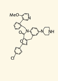 COc1ccncc1-c1ccccc1CN1C(=O)c2oc(-c3ccc(Cl)cc3)cc2Cc2cc(N3CCNCC3)ccc21